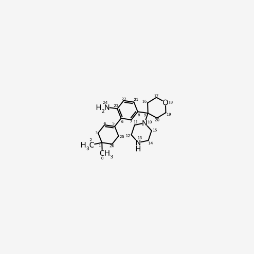 CC1(C)CC=C(c2cc(C3(N4CCNCC4)CCOCC3)ccc2N)CC1